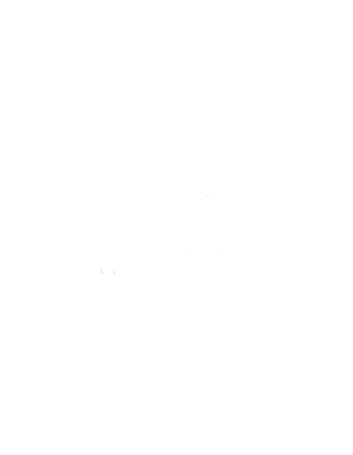 CC(=O)Oc1ccc2c(c1)C(=O)C=CC2=O